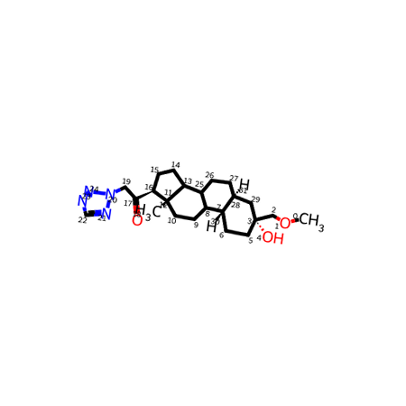 COC[C@@]1(O)CC[C@@H]2C3CC[C@@]4(C)C(CC[C@@H]4C(=O)Cn4ncnn4)C3CC[C@H]2C1